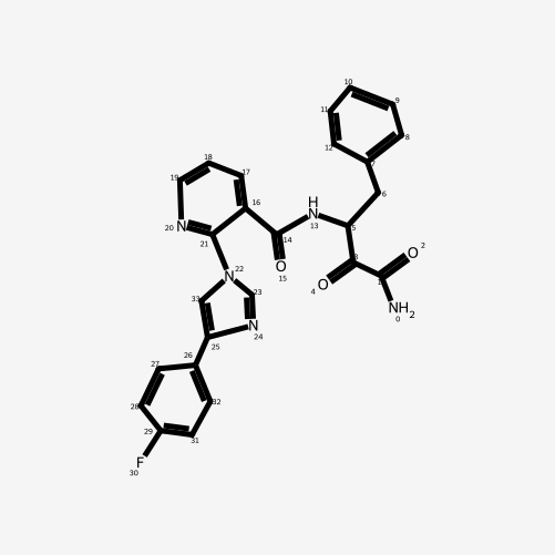 NC(=O)C(=O)C(Cc1ccccc1)NC(=O)c1cccnc1-n1cnc(-c2ccc(F)cc2)c1